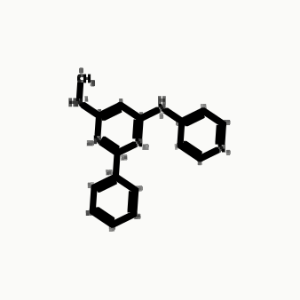 CNc1cc(Nc2ccncc2)nc(-c2ccccc2)n1